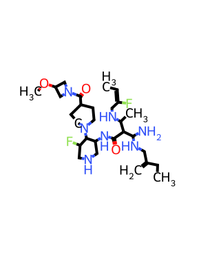 C=C(CC)CNC(N)C(C(=O)NC1CNCC(F)C1N1CCC(C(=O)N2CC(OC)C2)CC1)C(C)NC/C(F)=C\C